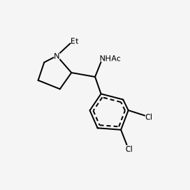 CCN1CCCC1C(NC(C)=O)c1ccc(Cl)c(Cl)c1